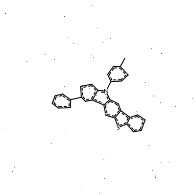 Cc1ccc(-n2c3ccc(-c4ccccc4)cc3c3cc4sc5ccccc5c4cc32)cc1